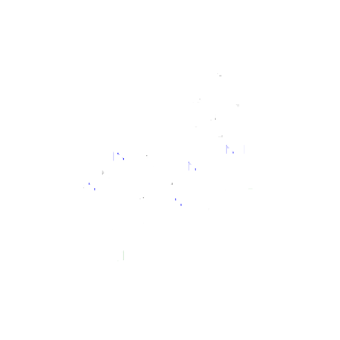 Fc1cnc(-c2c[nH]c3ncc(Cl)cc23)nc1NC1CC2CCC1C2